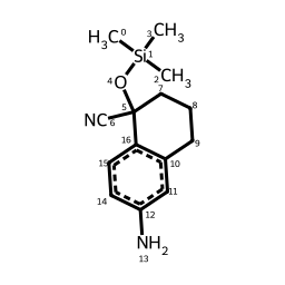 C[Si](C)(C)OC1(C#N)CCCc2cc(N)ccc21